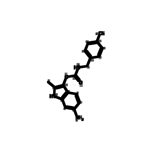 Cc1[nH]c2cc(N)ccc2c1OC(=O)NCc1ccc(C#N)cc1